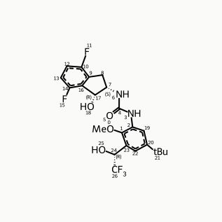 COc1c(NC(=O)N[C@H]2Cc3c(F)ccc(F)c3[C@H]2O)cc(C(C)(C)C)cc1[C@@H](O)C(F)(F)F